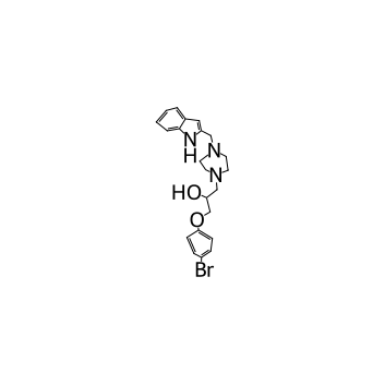 OC(COc1ccc(Br)cc1)CN1CCN(Cc2cc3ccccc3[nH]2)CC1